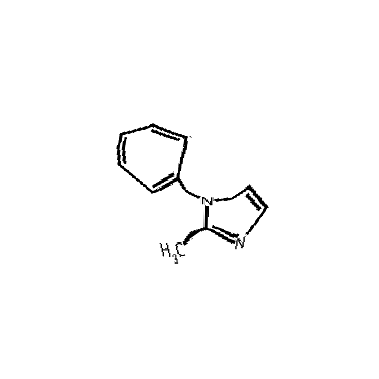 Cc1nccn1-c1[c]cccc1